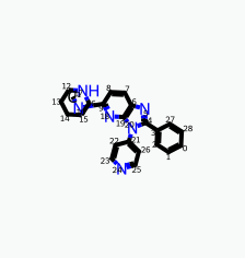 c1ccc(-c2nc3ccc(N4CC5CCC4CN5)nc3n2-c2ccncc2)cc1